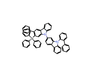 c1ccc(-c2ccccc2-n2c3ccccc3c3ccc(-n4c5ccccc5c5cc(-c6ccccc6)c([Si](c6ccccc6)(c6ccccc6)c6ccccc6)cc54)cc32)cc1